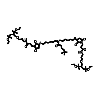 CCOC(C)(C)CC(COCCCNC(=O)CCN1C(=O)CC(SCCCCCCN(CCCCCCSC2CC(=O)N(CCC(=O)NCCCOCC(CC(C)(C)OCC)C(C)(C)OCC)C2=O)C(=O)CCCC(C)(C)C)C1=O)C(C)(C)OCC